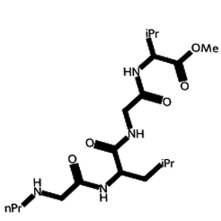 CCCNCC(=O)NC(CC(C)C)C(=O)NCC(=O)NC(C(=O)OC)C(C)C